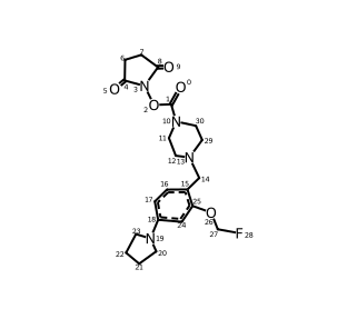 O=C(ON1C(=O)CCC1=O)N1CCN(Cc2ccc(N3CCCC3)cc2OCF)CC1